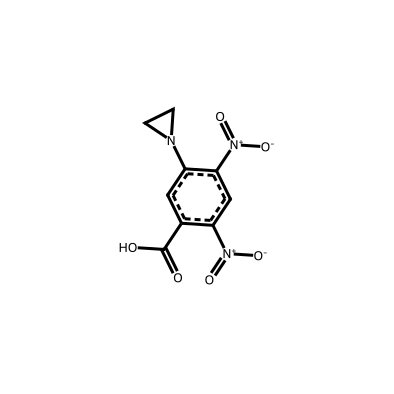 O=C(O)c1cc(N2CC2)c([N+](=O)[O-])cc1[N+](=O)[O-]